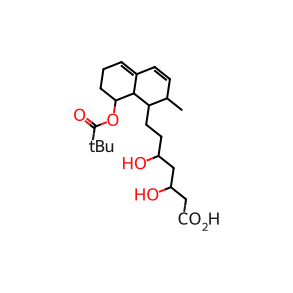 CC1C=CC2=CCCC(OC(=O)C(C)(C)C)C2C1CCC(O)CC(O)CC(=O)O